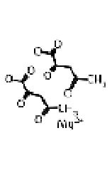 CC(=O)CC(=O)C(=O)[O-].CC(=O)CC(=O)C(=O)[O-].[Mg+2]